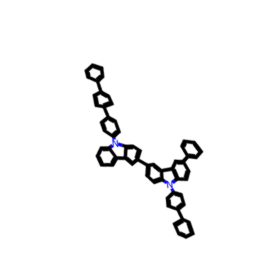 c1ccc(-c2ccc(-c3ccc(-n4c5ccccc5c5cc(-c6ccc7c(c6)c6cc(-c8ccccc8)ccc6n7-c6ccc(-c7ccccc7)cc6)ccc54)cc3)cc2)cc1